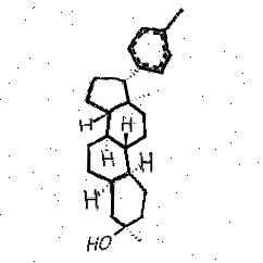 Cc1ccc([C@H]2CC[C@H]3[C@@H]4CC[C@@H]5C[C@](C)(O)CC[C@@H]5[C@H]4CC[C@]23C)cc1